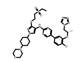 CCS(=O)(=O)CCOc1nn(C2CCC(N3CCOCC3)CC2)cc1Nc1ncc(-c2ccc(Cl)c(O[C@@H](C)Cn3cnnn3)c2)cn1